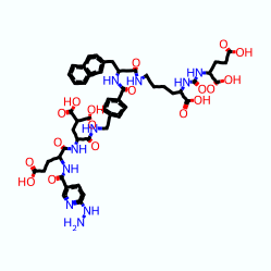 NNc1ccc(C(=O)NC(CCC(=O)O)C(=O)NC(CC(C(=O)O)C(=O)O)C(=O)NCc2ccc(C(=O)NC(Cc3ccc4ccccc4c3)C(=O)NCCCCC(NC(=O)NC(CCC(=O)O)C(=O)O)C(=O)O)cc2)cn1